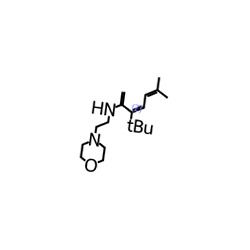 C=C(NCCN1CCOCC1)/C(=C\C=C(C)C)C(C)(C)C